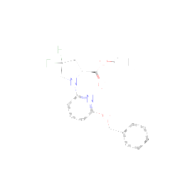 COC(=O)[C@@H]1CC(F)(F)CN1c1cccc(OCc2ccccc2)n1